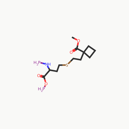 COC(=O)C1(CCSCCC(NP)C(=O)OP)CCC1